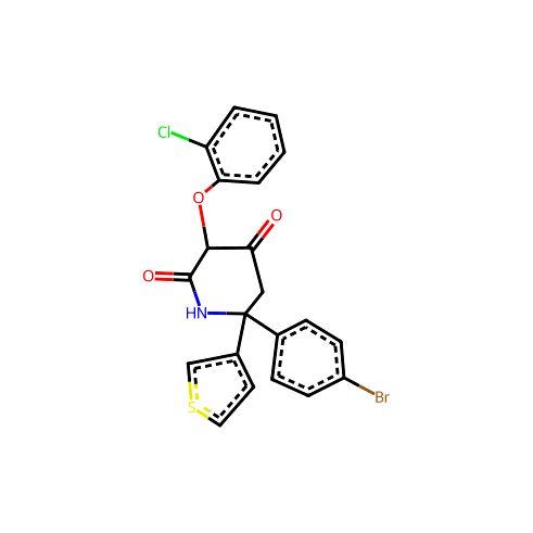 O=C1CC(c2ccc(Br)cc2)(c2ccsc2)NC(=O)C1Oc1ccccc1Cl